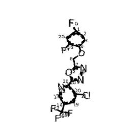 Fc1ccc(OCc2nnc(-c3ncc(C(F)(F)F)cc3Cl)o2)c(F)c1